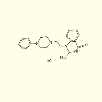 CC1NC(=O)c2ccccc2N1CCN1CCN(c2ccccc2)CC1.Cl